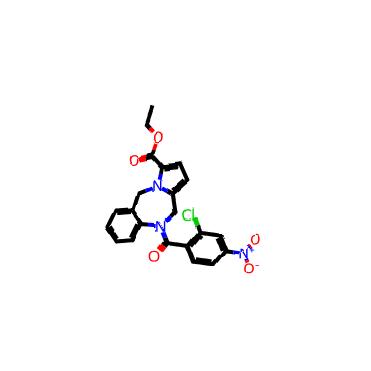 CCOC(=O)c1ccc2n1Cc1ccccc1N(C(=O)c1ccc([N+](=O)[O-])cc1Cl)C2